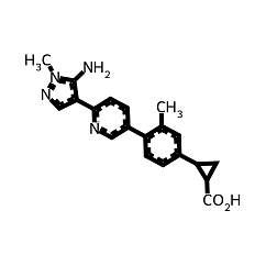 Cc1cc(C2CC2C(=O)O)ccc1-c1ccc(-c2cnn(C)c2N)nc1